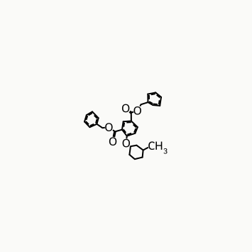 CC1CCCC(Oc2ccc(C(=O)OCc3ccccc3)cc2C(=O)OCc2ccccc2)C1